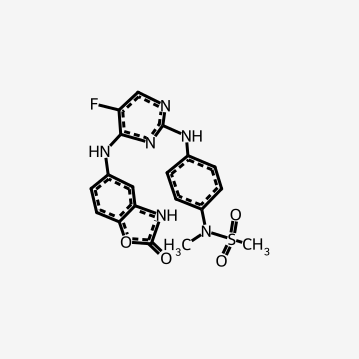 CN(c1ccc(Nc2ncc(F)c(Nc3ccc4oc(=O)[nH]c4c3)n2)cc1)S(C)(=O)=O